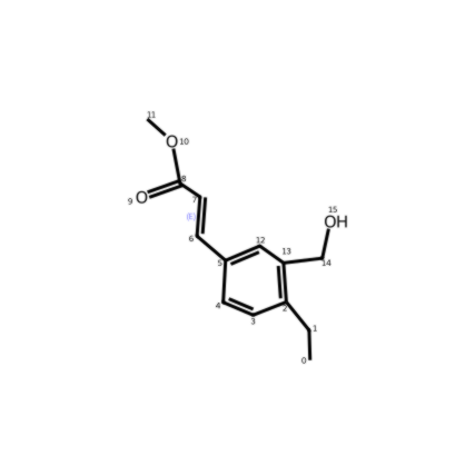 CCc1ccc(/C=C/C(=O)OC)cc1CO